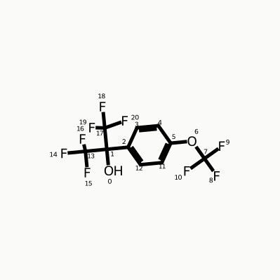 OC(c1ccc(OC(F)(F)F)cc1)(C(F)(F)F)C(F)(F)F